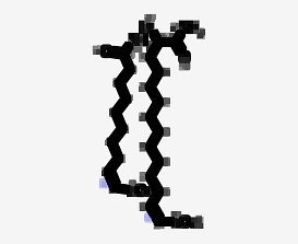 CCCCCCCC/C=C\CCCCCCCC(N)=O.CCCCCCCC/C=C\CCCCCCCCCCC(CC)C(N)=O